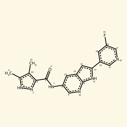 Cc1[nH]nc(C(=O)Nc2cnc3[nH]c(-c4cncc(F)c4)cc3c2)c1C